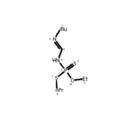 CCCSP(=S)(NC=NC(C)CC)OCC